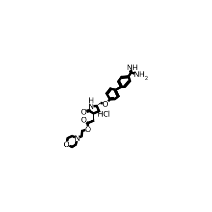 Cl.N=C(N)c1ccc(-c2ccc(OC[C@@H]3C[C@@H](CC(=O)OCCN4CCOCC4)C(=O)N3)cc2)cc1